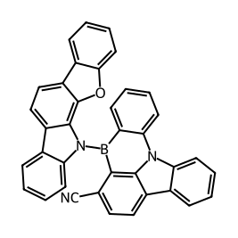 N#Cc1ccc2c3ccccc3n3c2c1B(n1c2ccccc2c2ccc4c5ccccc5oc4c21)c1ccccc1-3